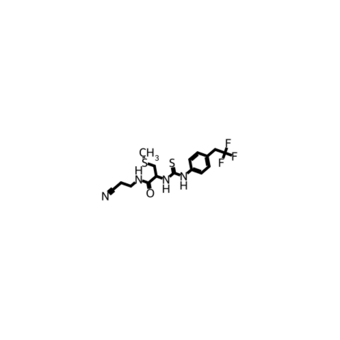 CSCC(NC(=S)Nc1ccc(CC(F)(F)F)cc1)C(=O)NCCC#N